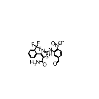 NC(=O)c1sc(Nc2cc(C=O)ccc2[N+](=O)[O-])nc1-c1ccccc1C(F)(F)F